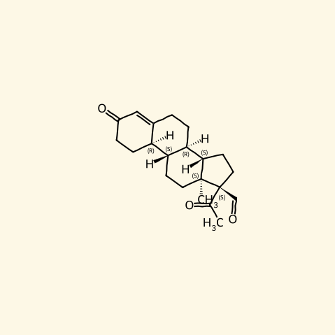 CC(=O)[C@@]1(C=O)CC[C@H]2[C@@H]3CCC4=CC(=O)CC[C@@H]4[C@H]3CC[C@@]21C